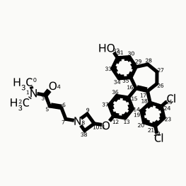 CN(C)C(=O)/C=C/CN1CC(Oc2ccc(C3=C(c4ccc(Cl)cc4Cl)CCCc4cc(O)ccc43)cc2)C1